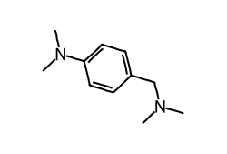 CN(C)Cc1ccc(N(C)C)cc1